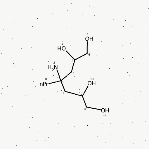 CCCC(N)(CC(O)CO)CC(O)CO